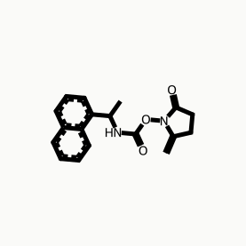 C=C1CCC(=O)N1OC(=O)NC(C)c1cccc2ccccc12